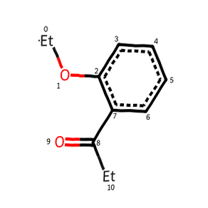 C[CH]Oc1ccccc1C(=O)CC